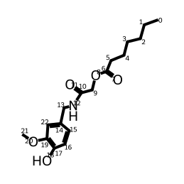 CCCCCCC(=O)OCC(=O)NCc1ccc(O)c(OC)c1